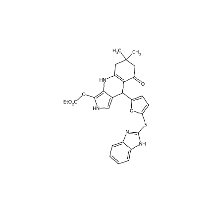 CCOC(=O)Oc1[nH]cc2c1NC1=C(C(=O)CC(C)(C)C1)C2c1ccc(Sc2nc3ccccc3[nH]2)o1